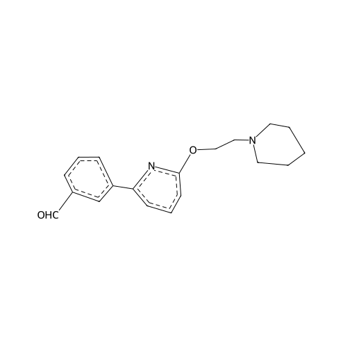 O=Cc1cccc(-c2cccc(OCCN3CCCCC3)n2)c1